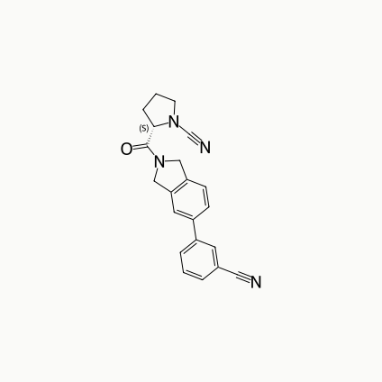 N#Cc1cccc(-c2ccc3c(c2)CN(C(=O)[C@@H]2CCCN2C#N)C3)c1